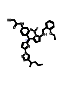 CCCC(C)c1cn(C2=N/C(=C(/c3ccc(NC(=O)CO)cc3)c3ccc(NCc4ccccc4OCC)n3B(F)F)C=C2)nn1